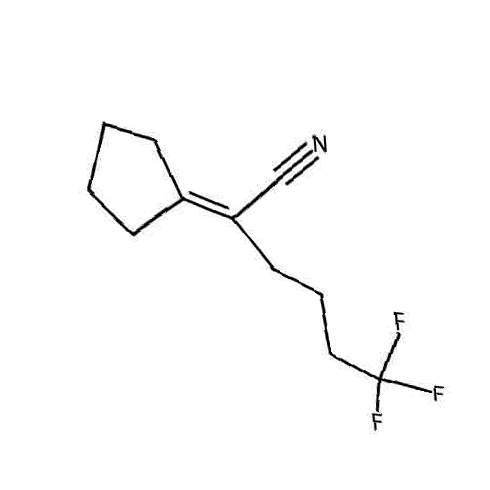 N#CC(CCCC(F)(F)F)=C1CCCC1